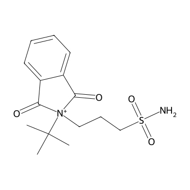 CC(C)(C)[N+]1(CCCS(N)(=O)=O)C(=O)c2ccccc2C1=O